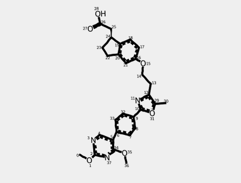 COc1ncc(-c2ccc(-c3nc(CCOc4ccc5c(c4)CC[C@H]5CC(=O)O)c(C)o3)cc2)c(OC)n1